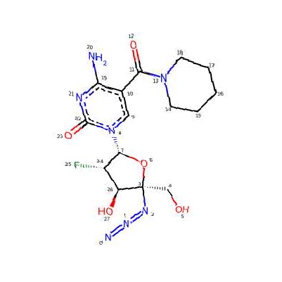 [N-]=[N+]=N[C@]1(CO)O[C@@H](n2cc(C(=O)N3CCCCC3)c(N)nc2=O)[C@@H](F)[C@@H]1O